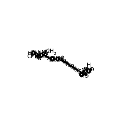 C=CC(=O)Nc1cc2c(Nc3ccc(F)c(Cl)c3)ncnc2cc1OCCCN1CCC(N2CCN(C(=O)COCCOCCOCCOCCSc3cccc4c3C(=O)N(C3CCC(=O)NC3=O)C4=O)CC2)CC1